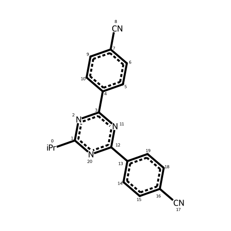 CC(C)c1nc(-c2ccc(C#N)cc2)nc(-c2ccc(C#N)cc2)n1